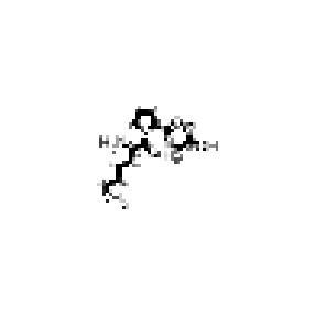 C[C@H](NC(=O)[C@@H]1CCCN1C(=O)[C@@H](N)CCCCN)C(=O)O